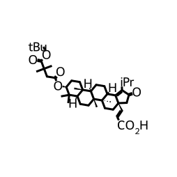 CC(C)C1=C2[C@H]3CC[C@@H]4[C@@]5(C)CC[C@H](OC(=O)CC(C)(C)C(=O)OC(C)(C)C)C(C)(C)[C@@H]5CC[C@@]4(C)[C@]3(C)CC[C@@]2(C=CC(=O)O)CC1=O